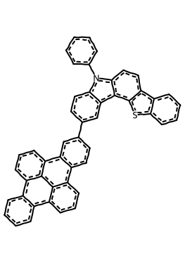 c1ccc(-n2c3ccc(-c4ccc5c(c4)c4cccc6c7ccccc7c7cccc5c7c64)cc3c3c4sc5ccccc5c4ccc32)cc1